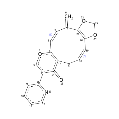 C=C1/C=C\c2occ(-c3ccccn3)c(=O)c2C/C=C\C2=C1OCO2